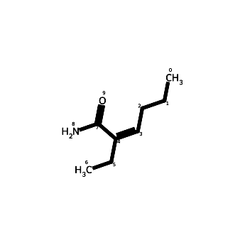 CCCC=C(CC)C(N)=O